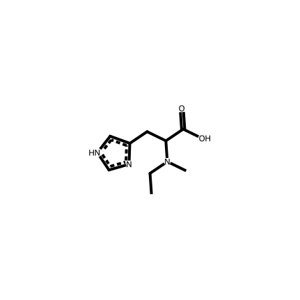 CCN(C)C(Cc1c[nH]cn1)C(=O)O